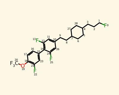 FCCCC1CCC(CCc2cc(F)c(-c3ccc(OC(F)(F)F)c(F)c3)c(F)c2)CC1